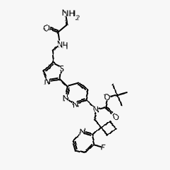 CC(C)(C)OC(=O)N(CC1(c2ncccc2F)CCC1)c1ccc(-c2ncc(CNC(=O)CN)s2)nn1